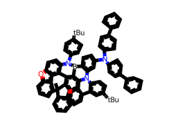 CC(C)(C)c1ccc(N2B3c4ccc(N(c5ccc(-c6ccccc6)cc5)c5ccc(-c6ccccc6)cc5)cc4N(c4ccc(C(C)(C)C)cc4-c4ccccc4)c4cc5c(c(c43)-c3c2ccc2oc4ccccc4c32)C(C)(C)c2ccccc2-5)cc1